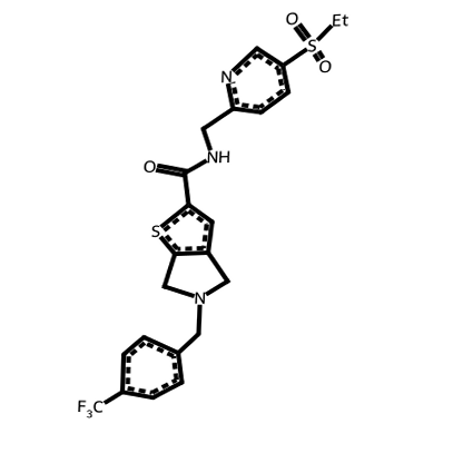 CCS(=O)(=O)c1ccc(CNC(=O)c2cc3c(s2)CN(Cc2ccc(C(F)(F)F)cc2)C3)nc1